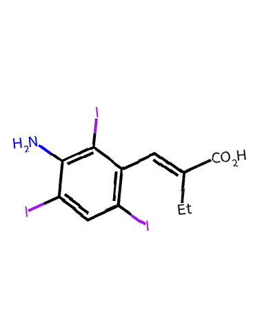 CC/C(=C\c1c(I)cc(I)c(N)c1I)C(=O)O